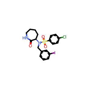 O=C1NCCCC[C@H]1N(Cc1cccc(I)c1)S(=O)(=O)c1ccc(Cl)cc1